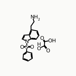 NCCc1cccc2c1ccn2S(=O)(=O)c1ccccc1.O=C(O)C(=O)O